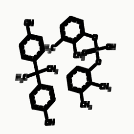 CC(C)(c1ccc(O)cc1)c1ccc(O)cc1.Cc1cccc(OP(=O)(O)Oc2cccc(C)c2C)c1C